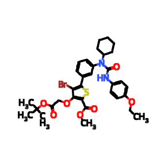 CCOc1ccc(NC(=O)N(c2cccc(-c3sc(C(=O)OC)c(OCC(=O)OC(C)(C)C)c3Br)c2)C2CCCCC2)cc1